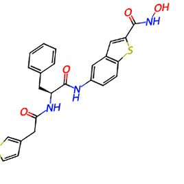 O=C(Cc1ccsc1)N[C@@H](Cc1ccccc1)C(=O)Nc1ccc2sc(C(=O)NO)cc2c1